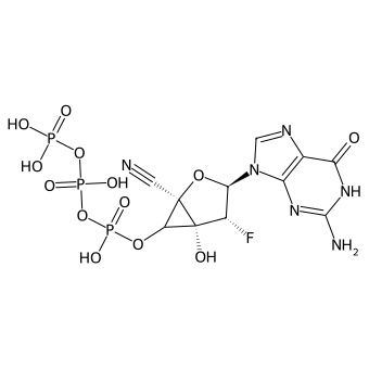 N#C[C@]12O[C@@H](n3cnc4c(=O)[nH]c(N)nc43)[C@H](F)[C@@]1(O)C2OP(=O)(O)OP(=O)(O)OP(=O)(O)O